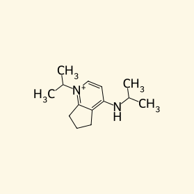 CC(C)Nc1cc[n+](C(C)C)c2c1CCC2